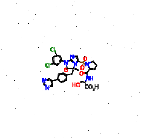 C[C@@]1(Cc2ccc(-c3cncnc3)cc2)C(=O)N(c2cc(Cl)cc(Cl)c2)c2ncc(S(=O)(=O)N3CCC[C@H]3C(=O)N[C@@H](CO)C(=O)O)n21